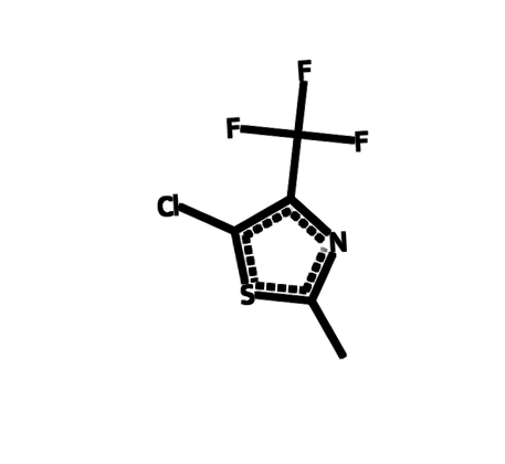 Cc1nc(C(F)(F)F)c(Cl)s1